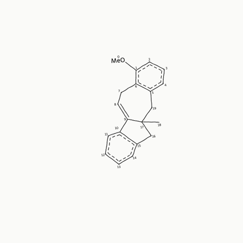 COc1cccc2c1CC=C1c3ccccc3CC1(C)C2